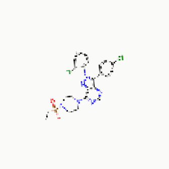 CCS(=O)(=O)N1CCN(c2ncnc3c(-c4ccc(Cl)cc4)n(-c4ccccc4Cl)nc23)CC1